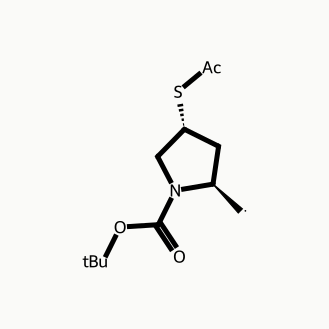 [CH2][C@@H]1C[C@@H](SC(C)=O)CN1C(=O)OC(C)(C)C